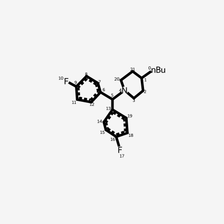 CCCCC1CCN(C(c2ccc(F)cc2)c2ccc(F)cc2)CC1